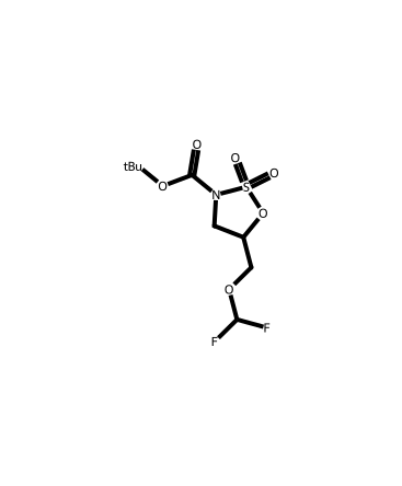 CC(C)(C)OC(=O)N1CC(COC(F)F)OS1(=O)=O